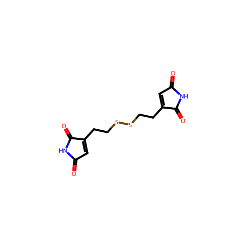 O=C1C=C(CCSSCCC2=CC(=O)NC2=O)C(=O)N1